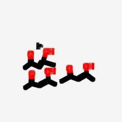 CC(=O)C=C(C)O.CC(=O)C=C(C)O.CC(=O)C=C(C)O.[Ir]